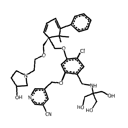 CC1(C)C(c2ccccc2)=CC=C[C@@]1(COCCN1CCC(O)C1)COc1cc(OCc2cncc(C#N)c2)c(CNC(CO)(CO)CO)cc1Cl